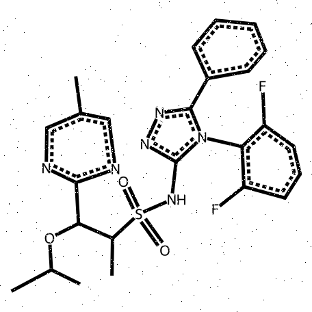 Cc1cnc(C(OC(C)C)C(C)S(=O)(=O)Nc2nnc(-c3ccccc3)n2-c2c(F)cccc2F)nc1